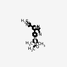 C=CC(=O)N1[C@@H](C)CN(c2ccc(-c3cc(-c4cnn(C)c4)cn4ncc(C#N)c34)cc2)C[C@@H]1C